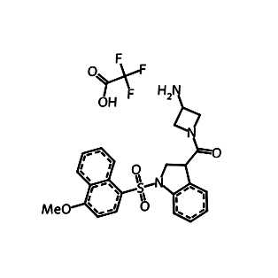 COc1ccc(S(=O)(=O)N2CC(C(=O)N3CC(N)C3)c3ccccc32)c2ccccc12.O=C(O)C(F)(F)F